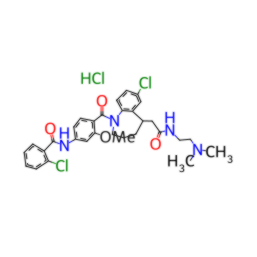 COc1cc(NC(=O)c2ccccc2Cl)ccc1C(=O)N1CCCC(CC(=O)NCCN(C)C)c2cc(Cl)ccc21.Cl